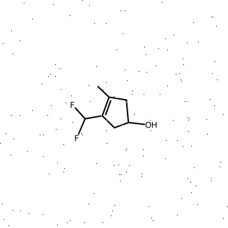 CC1=C(C(F)F)CC(O)C1